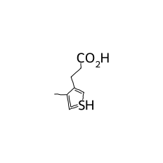 CC1=C=[SH]C=C1CCC(=O)O